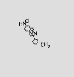 CCc1cccc(-c2cn3c(n2)sc2cc(NCl)ccc23)c1